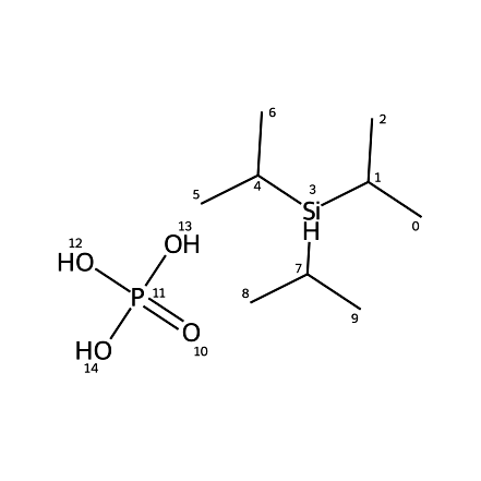 CC(C)[SiH](C(C)C)C(C)C.O=P(O)(O)O